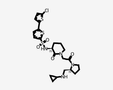 O=C1[C@@H](NS(=O)(=O)c2ccc(-c3ccc(Cl)s3)s2)CCCN1CC(=O)N1CCC[C@H]1CNC1CC1